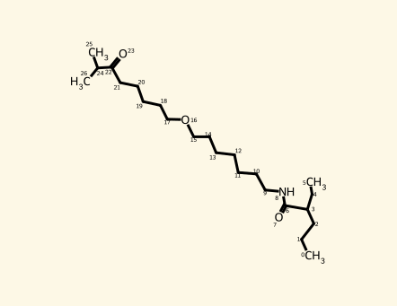 CCCC(CC)C(=O)NCCCCCCCOCCCCCC(=O)C(C)C